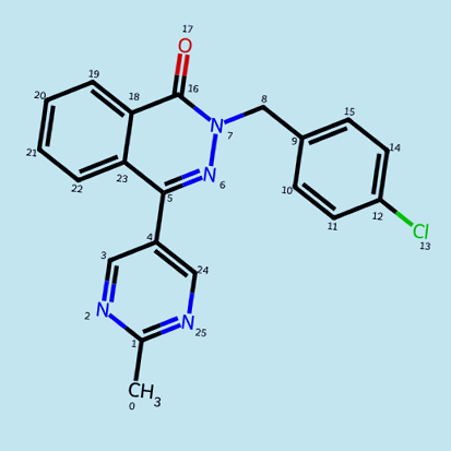 Cc1ncc(-c2nn(Cc3ccc(Cl)cc3)c(=O)c3ccccc23)cn1